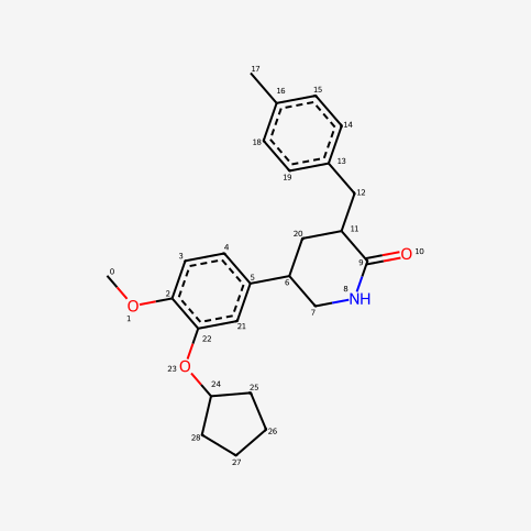 COc1ccc(C2CNC(=O)C(Cc3ccc(C)cc3)C2)cc1OC1CCCC1